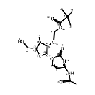 CC(=O)Nc1ccn([C@@H]2O[C@H](CO)C(C)[C@@H]2OCOC(=O)C(C)(C)C)c(=O)n1